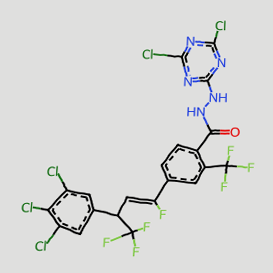 O=C(NNc1nc(Cl)nc(Cl)n1)c1ccc(C(F)=CC(c2cc(Cl)c(Cl)c(Cl)c2)C(F)(F)F)cc1C(F)(F)F